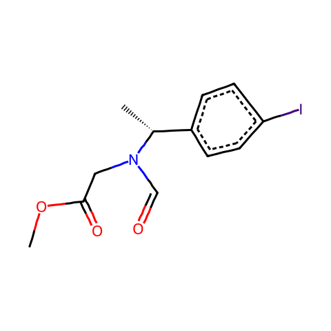 COC(=O)CN(C=O)[C@H](C)c1ccc(I)cc1